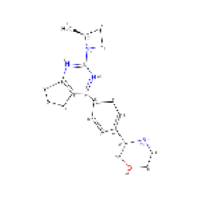 C[C@H]1CCN1c1nc2c(c(-c3ccc(C4COCCN4)cc3)n1)CCC2